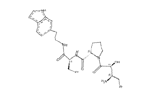 CC(C)C[C@H](NC(=O)[C@@H]1CCCN1C(=O)[C@@H](O)[C@H](N)CC(C)C)C(=O)NCCc1ccc2cc[nH]c2c1